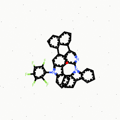 Fc1c(F)c(F)c(-n2c3ccccc3c3ccc(-c4cccc5cccc(-c6ccc(-n7c8ccccc8c8ccccc87)nc6)c45)cc32)c(F)c1F